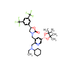 CCN(Cc1ncc(B2OC(C)(C)C(C)(C)O2)cc1CN1C[C@@H](c2cc(C(F)(F)F)cc(C(F)(F)F)c2)OC1=O)C1CCCCC1